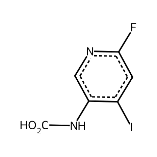 O=C(O)Nc1cnc(F)cc1I